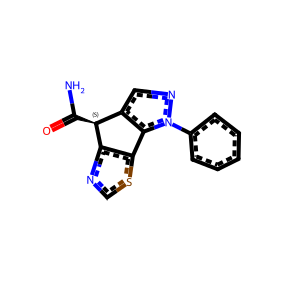 NC(=O)[C@H]1c2cnn(-c3ccccc3)c2-c2s[c]nc21